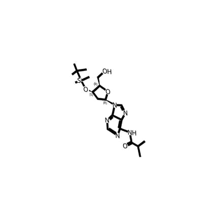 CC(C)C(=O)Nc1ncnc2c1ncn2[C@H]1C[C@H](O[Si](C)(C)C(C)(C)C)[C@@H](CO)O1